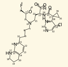 CO[C@H](CF)CN(CCCCc1ccc2c(n1)NCCC2)CC[C@H](NC(=O)C1(c2ncncc2Cl)CC1)C(=O)O